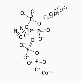 O=P([O-])([O-])OP(=O)([O-])[O-].O=P([O-])([O-])OP(=O)([O-])[O-].[C-]#N.[C-]#N.[Cu+2].[Cu+2].[Cu+2].[Cu+2].[Cu+2]